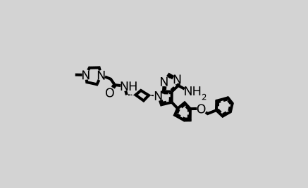 CN1CCN(CC(=O)NC[C@H]2C[C@@H](n3cc(-c4cccc(OCc5ccccc5)c4)c4c(N)ncnc43)C2)CC1